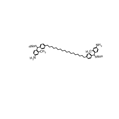 CCCCCCCCCC(c1ccc(CCCCCCCCCCCCCCCCCCc2ccc(C(CCCCCCCCC)c3ccc(N)cc3C)cc2)cc1)c1ccc(N)cc1C